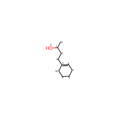 CC(O)CCC1=CCCCC1